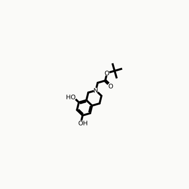 CC(C)(C)OC(=O)CN1CCc2cc(O)cc(O)c2C1